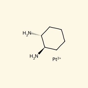 N[C@@H]1CCCC[C@H]1N.[Pt+2]